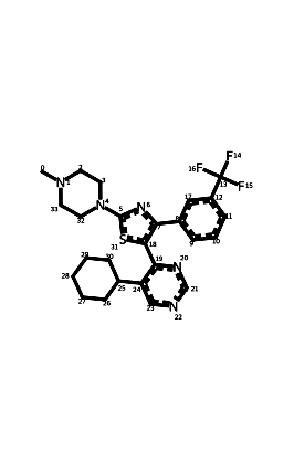 CN1CCN(c2nc(-c3cccc(C(F)(F)F)c3)c(-c3n[c]ncc3C3CCCCC3)s2)CC1